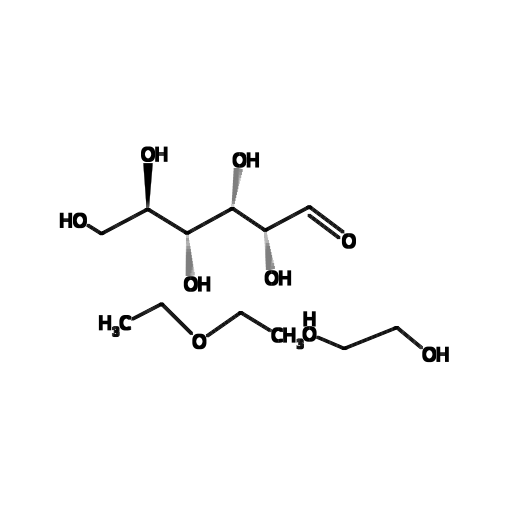 CCOCC.O=C[C@H](O)[C@@H](O)[C@H](O)[C@H](O)CO.OCCO